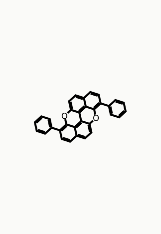 c1ccc(-c2ccc3ccc4oc5c(-c6ccccc6)ccc6ccc7oc2c3c4-c7c65)cc1